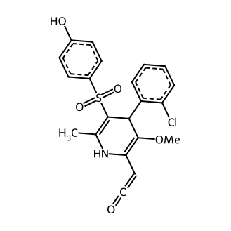 COC1=C(C=C=O)NC(C)=C(S(=O)(=O)c2ccc(O)cc2)C1c1ccccc1Cl